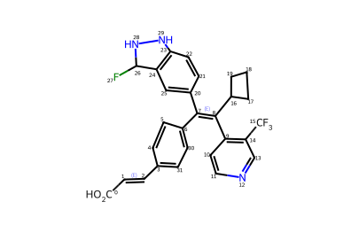 O=C(O)/C=C/c1ccc(/C(=C(\c2ccncc2C(F)(F)F)C2CCC2)c2ccc3c(c2)C(F)NN3)cc1